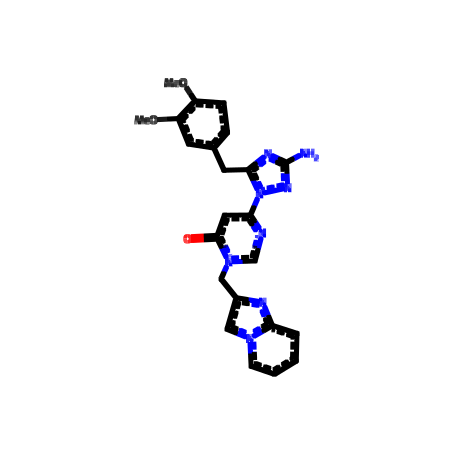 COc1ccc(Cc2nc(N)nn2-c2cc(=O)n(Cc3cn4ccccc4n3)cn2)cc1OC